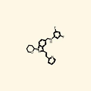 Fc1cc(F)cc(NCc2ccc3c(c2)c(/C=C/c2ccccn2)nn3C2CCCCO2)c1